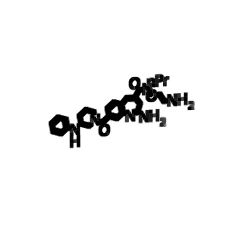 CCCN(OCCN)C(=O)C1=Cc2ccc(C(=O)N3CCC[C@@H](Nc4ccccc4)C3)cc2N=C(N)C1